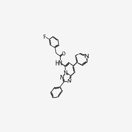 O=C(Cc1cccc(F)c1)Nc1cc(-c2ccncc2)cc2nc(-c3ccccc3)nn12